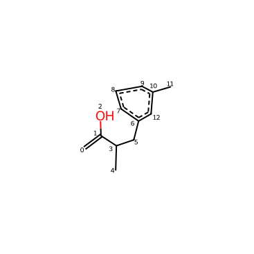 C=C(O)C(C)Cc1cccc(C)c1